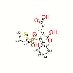 O=C(O)CCC(C(=O)O)C(c1ccccc1)P(=O)(O)c1cccs1